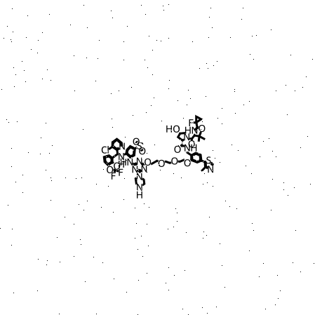 Cc1ncsc1-c1ccc(CNC(=O)[C@@H]2C[C@@H](O)CN2C(=O)[C@@H](NC(=O)C2(F)CC2)C(C)(C)C)c(OCCOCCOCCOc2nc(Nc3cc(S(C)(=O)=O)ccc3N[C@@H](c3cccc4c3OC(F)(F)O4)c3ncccc3Cl)nc(N3CCNCC3)n2)c1